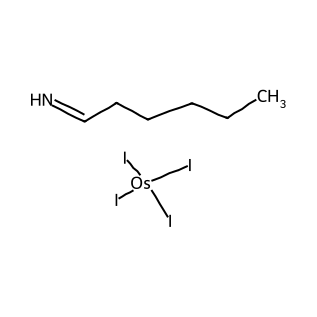 CCCCCC=N.[I][Os]([I])([I])[I]